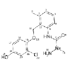 Cc1cccc(NC(=O)N(C)N)c1COc1ccc(O)cc1Cl